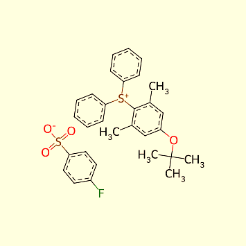 Cc1cc(OC(C)(C)C)cc(C)c1[S+](c1ccccc1)c1ccccc1.O=S(=O)([O-])c1ccc(F)cc1